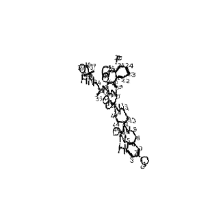 COc1ccc2c(c1)CCN(C1CCN(C(=O)Cn3cc(-c4cccc(F)c4Cl)c(=O)n(C(C)CNC4(C)COC4)c3=O)CC1)C(=O)N2